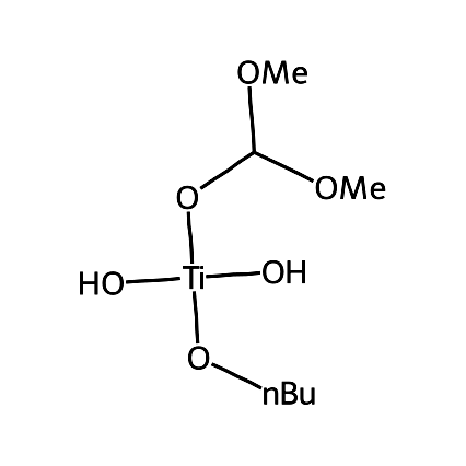 CCCC[O][Ti]([OH])([OH])[O]C(OC)OC